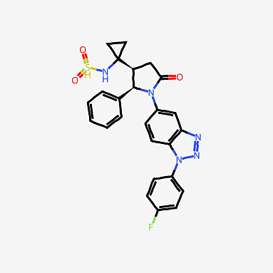 O=C1C[C@H](C2(N[SH](=O)=O)CC2)[C@H](c2ccccc2)N1c1ccc2c(c1)nnn2-c1ccc(F)cc1